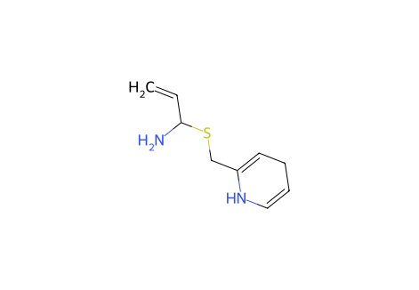 C=CC(N)SCC1=CCC=CN1